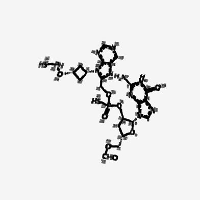 Nc1nc2c(ncn2[C@@H]2O[C@H](COC=O)C[C@H]2OP(=O)(S)OCc2nc3cncnc3n2[C@H]2C[C@@H](OPS)C2)c(=O)[nH]1